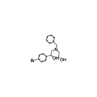 OCCN(Cc1ccccc1)C[C@@H](O)c1ccc(Br)cc1